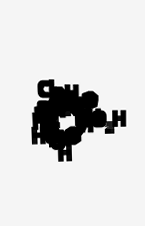 O=C1C[C@@H](O)C(=O)Nc2ccc(cc2)C[C@H](C(=O)O)NC(=O)[C@@H](CCc2ccccc2)NC(=O)[C@H](Cc2ccc(Cl)cc2Cl)NC(=O)[C@@H](Cc2cccs2)N1